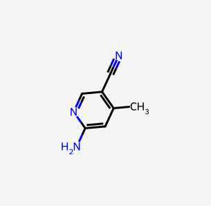 Cc1cc(N)ncc1C#N